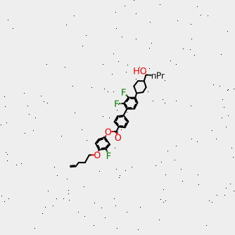 C=CCCCOc1ccc(OC(=O)c2ccc(-c3ccc(C4CCC(C(O)CCC)CC4)c(F)c3F)cc2)cc1F